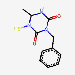 CC1NC(=O)N(Cc2ccccc2)C(=O)N1S